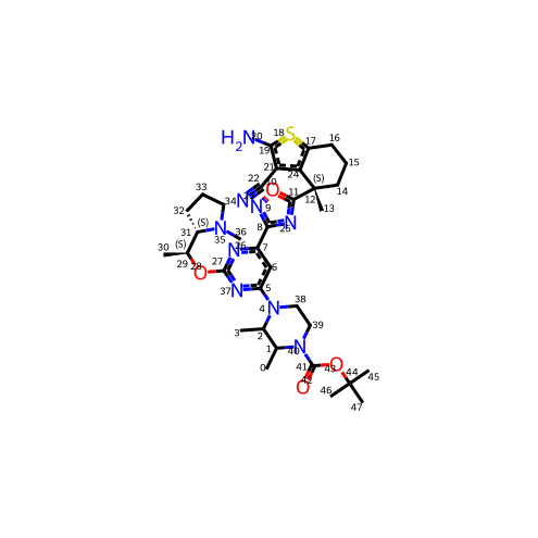 CC1C(C)N(c2cc(-c3noc([C@@]4(C)CCCc5sc(N)c(C#N)c54)n3)nc(O[C@@H](C)[C@@H]3CCCN3C)n2)CCN1C(=O)OC(C)(C)C